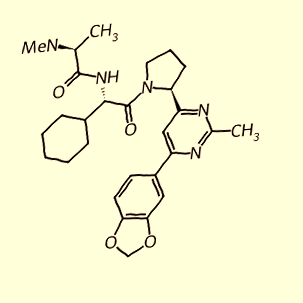 CN[C@@H](C)C(=O)N[C@H](C(=O)N1CCC[C@H]1c1cc(-c2ccc3c(c2)OCO3)nc(C)n1)C1CCCCC1